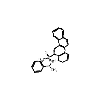 C[C@H](N[SH](C)(=O)C1Cc2c(ccc3ccccc23)C2=C1CCC=C2)c1ccccc1